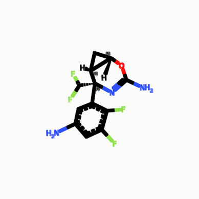 NC1=N[C@](c2cc(N)cc(F)c2F)(C(F)F)[C@@H]2C[C@@H]2O1